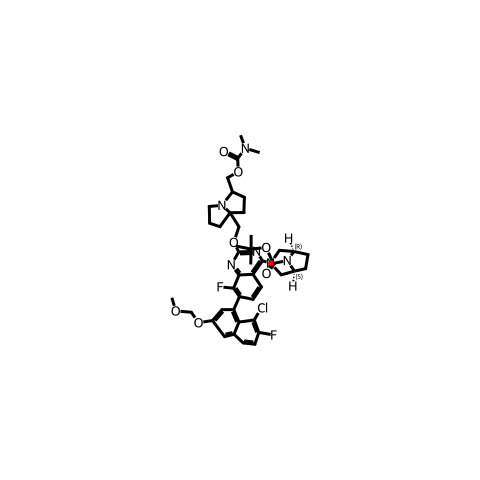 COCOc1cc(-c2ccc3c(N4C[C@H]5CC[C@@H](C4)N5C(=O)OC(C)(C)C)nc(OCC45CCCN4C(COC(=O)N(C)C)CC5)nc3c2F)c2c(Cl)c(F)ccc2c1